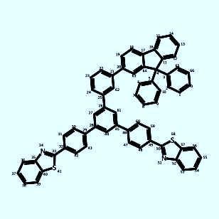 c1ccc(C2(c3ccccc3)c3ccccc3-c3ccc(-c4cccc(-c5cc(-c6ccc(-c7nc8ccccc8s7)cc6)cc(-c6ccc(-c7nc8ccccc8s7)cc6)c5)c4)cc32)cc1